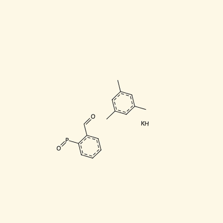 Cc1cc(C)cc(C)c1.O=Cc1ccccc1P=O.[KH]